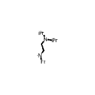 CC[N]CCN(C(C)C)C(C)C